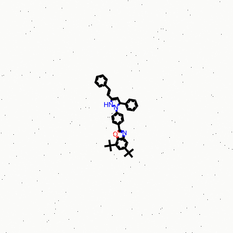 CC(C)(C)c1cc(C(C)(C)C)c2oc(-c3ccc(N4NC(C=Cc5ccccc5)=CC4c4ccccc4)cc3)nc2c1